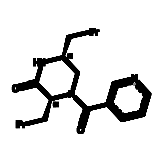 CC(C)C[C@H]1CN(C(=O)c2cccnc2)[C@@H](CC(C)C)C(=O)N1